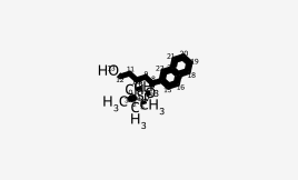 CC(C)(C)[Si](C)(C)OC(CCCCO)c1ccc2ccccc2c1